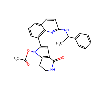 CC(Nc1ccc2cccc(-c3cc4c(n3OC(=O)C(F)(F)F)CCNC4=O)c2n1)c1ccccc1